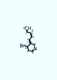 C=C/C=C\C=C1/CN=CCC1Br